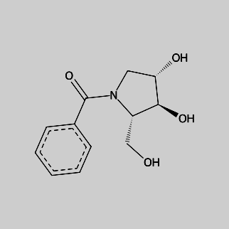 O=C(c1ccccc1)N1C[C@H](O)[C@@H](O)[C@@H]1CO